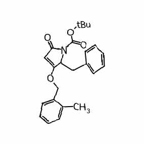 Cc1ccccc1COC1=CC(=O)N(C(=O)OC(C)(C)C)C1Cc1ccccc1